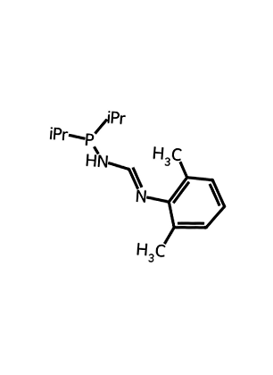 Cc1cccc(C)c1/N=C/NP(C(C)C)C(C)C